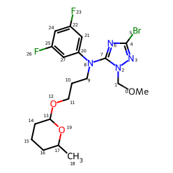 COCn1nc(Br)nc1N(CCCOC1CCCC(C)O1)c1cc(F)cc(F)c1